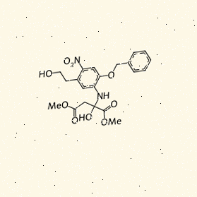 COC(=O)CC(O)(Nc1cc(CCO)c([N+](=O)[O-])cc1OCc1ccccc1)C(=O)OC